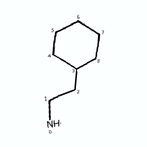 [NH]CCC1CCCCC1